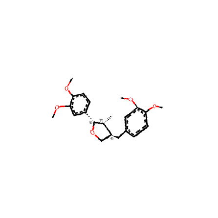 COc1ccc(C[C@H]2CO[C@H](c3ccc(OC)c(OC)c3)[C@@H]2C)cc1OC